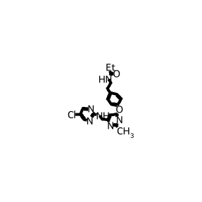 CCC(=O)NCCc1ccc(Oc2cc(CNc3ncc(Cl)cn3)nc(C)n2)cc1